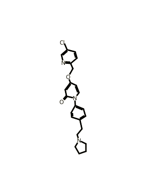 O=c1cc(OCc2ccc(Cl)cn2)ccn1-c1ccc(CCN2CCCC2)cc1